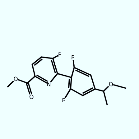 COC(=O)c1ccc(F)c(-c2c(F)cc(C(C)OC)cc2F)n1